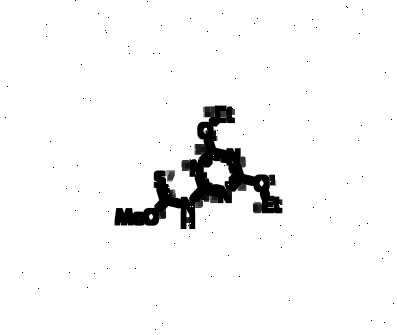 CCOc1nc(NC(=S)OC)nc(OCC)n1